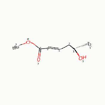 CC[C@H](O)C/C=C/C(=O)OC(C)(C)C